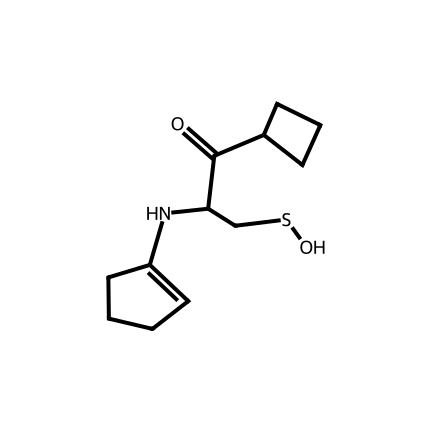 O=C(C1CCC1)C(CSO)NC1=CCCC1